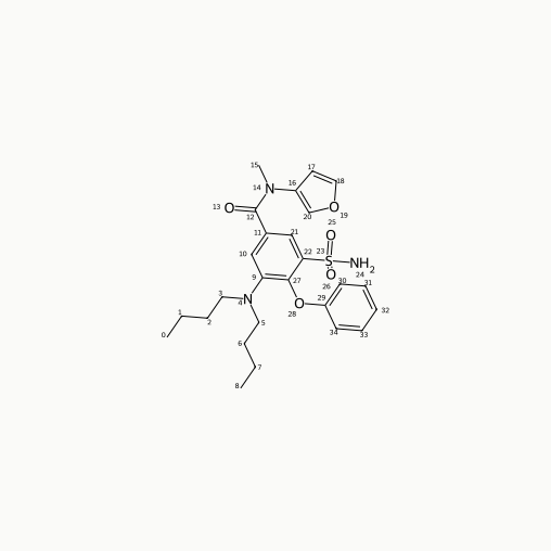 CCCCN(CCCC)c1cc(C(=O)N(C)c2ccoc2)cc(S(N)(=O)=O)c1Oc1ccccc1